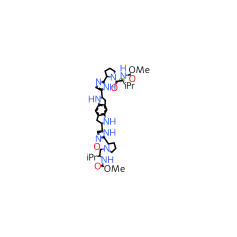 COC(=O)NC(C(=O)N1CCCC1c1ncc(C2Cc3cc4c(cc3N2)CC(c2cnc(C3CCCN3C(=O)[C@@H](NC(=O)OC)C(C)C)[nH]2)N4)[nH]1)C(C)C